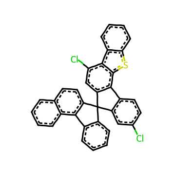 Clc1ccc2c(c1)C1(c3ccccc3-c3c1ccc1ccccc31)c1cc(Cl)c3c(sc4ccccc43)c1-2